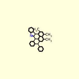 Cc1cc(C)c2c(C)cc3c4c2c1C1C(=Nc2ccccc21)C4c1ccccc1C3c1ccccc1